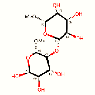 CO[C@H]1O[C@@H](O[C@@H]2[C@@H](OC)O[C@H](O)[C@H](O)[C@H]2O)[C@H](O)[C@@H](O)[C@H]1O